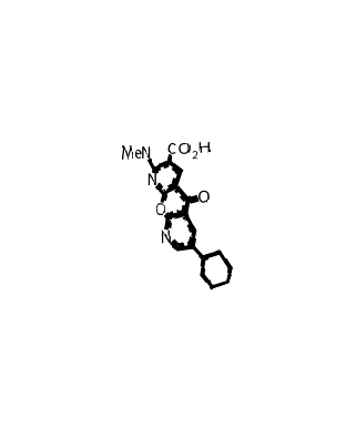 CNc1nc2oc3ncc(C4CCCCC4)cc3c(=O)c2cc1C(=O)O